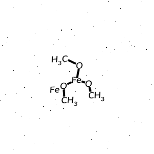 C[O][Fe]([O]C)[O]C.[Fe]